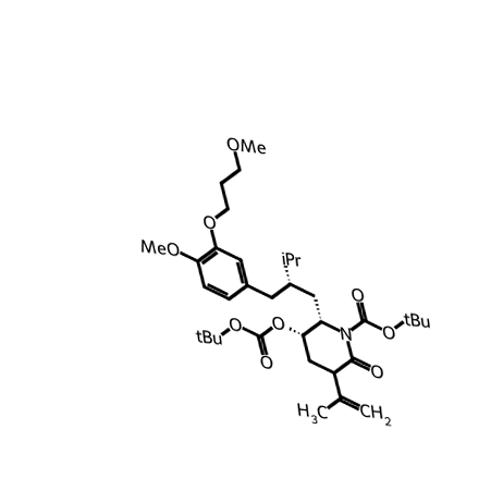 C=C(C)C1C[C@H](OC(=O)OC(C)(C)C)[C@H](C[C@H](Cc2ccc(OC)c(OCCCOC)c2)C(C)C)N(C(=O)OC(C)(C)C)C1=O